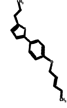 CCC=CCOc1ccc(-c2ccc(CCC)s2)cc1